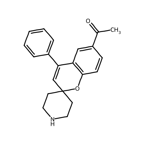 CC(=O)c1ccc2c(c1)C(c1ccccc1)=CC1(CCNCC1)O2